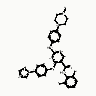 Cc1cccc(C)c1NC(=O)c1cnc(Nc2ccc(N3CCN(C)CC3)cc2)nc1Oc1ccc(-n2cncn2)cc1